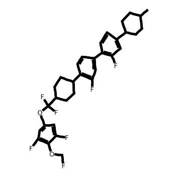 CC1CCC(c2ccc(-c3ccc(C4CCC(C(F)(F)Oc5cc(F)c(OCF)c(F)c5)CC4)c(F)c3)c(F)c2)CC1